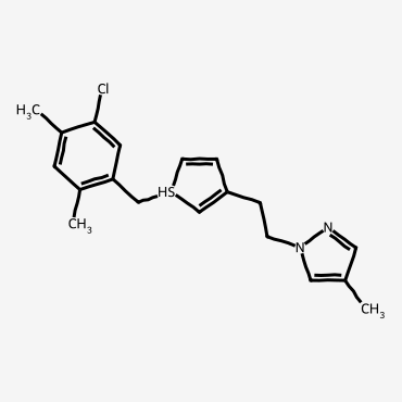 Cc1cnn(CCC2=C[SH](Cc3cc(Cl)c(C)cc3C)C=C2)c1